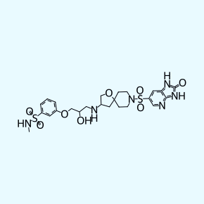 CNS(=O)(=O)c1cccc(OCC(O)CNC2COC3(CCN(S(=O)(=O)c4cnc5[nH]c(=O)[nH]c5c4)CC3)C2)c1